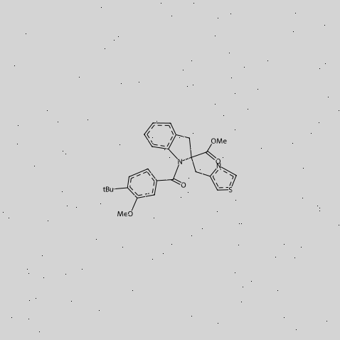 COC(=O)C1(Cc2cscn2)Cc2ccccc2N1C(=O)c1ccc(C(C)(C)C)c(OC)c1